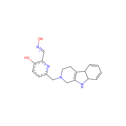 O/N=C/c1nc(CN2CCC3=C(C2)NC2C=CC=CC32)ccc1O